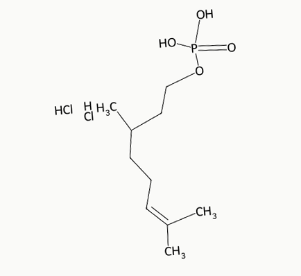 CC(C)=CCCC(C)CCOP(=O)(O)O.Cl.Cl